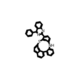 c1ccc(-c2nc(-c3ccc4cc3sc3ccc5cccc(c5c3)c3ccccc3[nH]4)nc3ccccc23)cc1